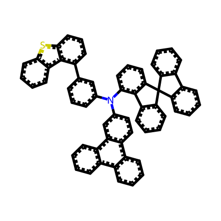 c1cc(-c2cccc3sc4ccccc4c23)cc(N(c2ccc3c4ccccc4c4ccccc4c3c2)c2cccc3c2-c2ccccc2C32c3ccccc3-c3ccccc32)c1